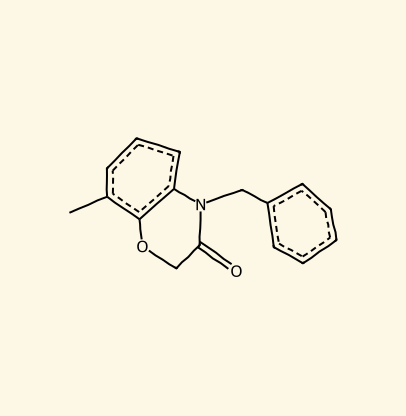 Cc1cccc2c1OCC(=O)N2Cc1ccccc1